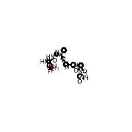 C[C@@]12Cc3[nH]nc(C(=O)Nc4cnn([C@H](c5ccccc5)C5CN(c6ccnc(C7CCN(c8cccc9c8C(=O)N(C8CCC(=O)NC8=O)C9=O)CC7)c6)C5)c4)c3C[C@@H]1C2(F)F